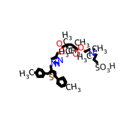 Cc1ccc(-c2cc(Cn3cc(COC(=O)C(C)(C)CC(C)(C)C(=O)OCC[N+](C)(C)CCCS(=O)(=O)O)nn3)c(-c3ccc(C)cc3)s2)cc1